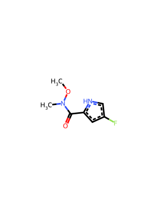 CON(C)C(=O)c1cc(F)c[nH]1